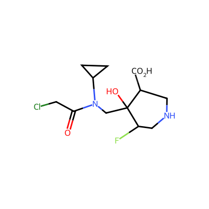 O=C(O)C1CNCC(F)C1(O)CN(C(=O)CCl)C1CC1